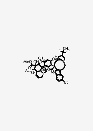 CCc1ccc2[nH]c3c(c2c1)CCN1CC(C(C)(F)F)C[C@@H](C1)C[C@]3(C(=O)OC)C1C=C2C(=CC1OC)N(C)[C@H]1[C@@](O)(C(=O)OC)[C@H](OC(C)=O)[C@]3(CC)C=CCN4CC[C@]21[C@@H]43